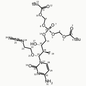 CC(C)(C)C(=O)OCOP(=O)(OCOC(=O)C(C)(C)C)OC[C@@H](O)[C@@H](F)[C@@H](OCCN=[N+]=[N-])n1ccc(N)nc1=O